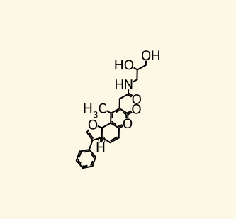 Cc1c2c(oc(=O)c1CC(=O)NCC(O)CO)C=C[C@@H]1C(c3ccccc3)=COC21